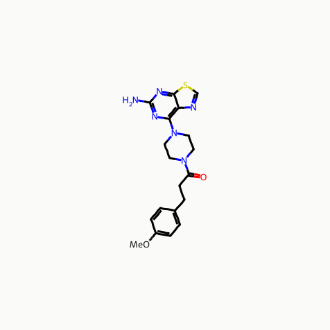 COc1ccc(CCC(=O)N2CCN(c3nc(N)nc4scnc34)CC2)cc1